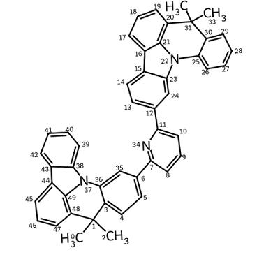 CC1(C)c2ccc(-c3cccc(-c4ccc5c6cccc7c6n(c5c4)-c4ccccc4C7(C)C)n3)cc2-n2c3ccccc3c3cccc1c32